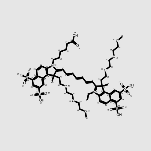 CC[N+]1=C(/C=C/C=C/C=C/C=C2/N(CCCCCC(=O)O)c3ccc4c(S(=O)(=O)[O-])cc(S(=O)(=O)O)cc4c3C2(C)CCOCCOCCOC)C(C)(CCOCCOCCOC)c2c1ccc1c(S(=O)(=O)O)cc(S(=O)(=O)O)cc21